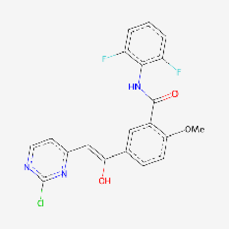 COc1ccc(C(O)=Cc2ccnc(Cl)n2)cc1C(=O)Nc1c(F)cccc1F